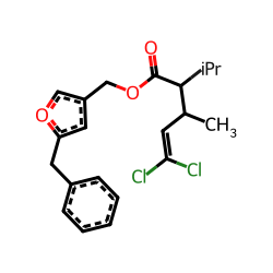 CC(C)C(C(=O)OCc1coc(Cc2ccccc2)c1)C(C)C=C(Cl)Cl